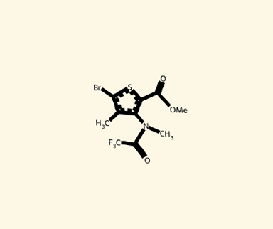 COC(=O)c1sc(Br)c(C)c1N(C)C(=O)C(F)(F)F